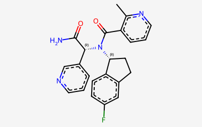 Cc1ncccc1C(=O)N([C@@H]1CCc2cc(F)ccc21)[C@@H](C(N)=O)c1cccnc1